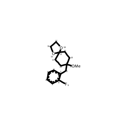 COC1(Cc2ccccc2F)CCC2(CC1)OCCO2